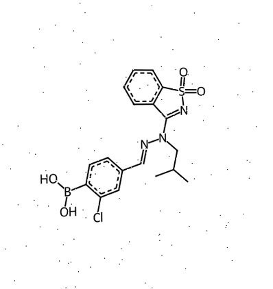 CC(C)CN(/N=C/c1ccc(B(O)O)c(Cl)c1)C1=NS(=O)(=O)c2ccccc21